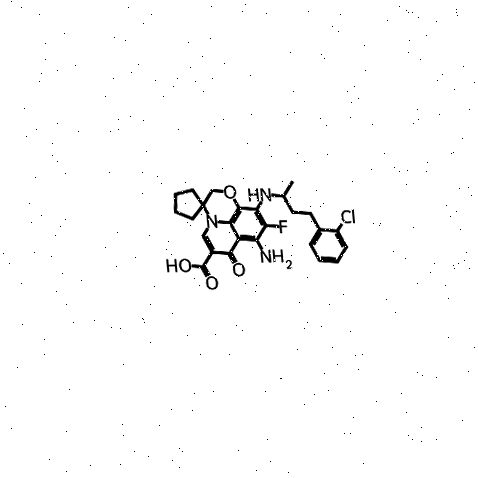 CC(CCc1ccccc1Cl)Nc1c(F)c(N)c2c(=O)c(C(=O)O)cn3c2c1OCC31CCCC1